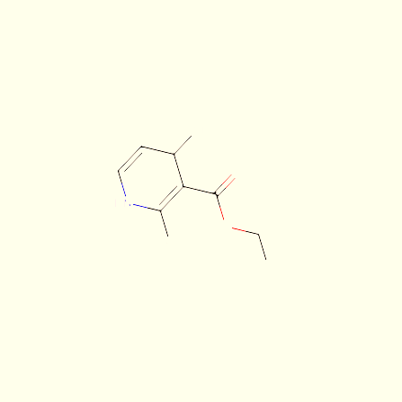 CCOC(=O)C1=C(C)NC=CC1C